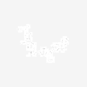 Cc1cc(-c2ccc3c(c2)C2CCCC2N3c2ccc3c(c2)C(C)(C)c2ccccc2-3)sc1/C=C1\C(=O)c2ccc(C(=O)O)cc2C1=O